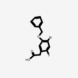 O=C(O)Cc1cc(OCc2ccccc2)c(Br)cc1F